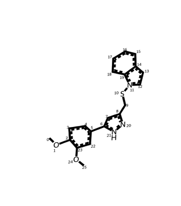 COc1ccc(-c2cc(CSn3ccc4ccccc43)n[nH]2)cc1OC